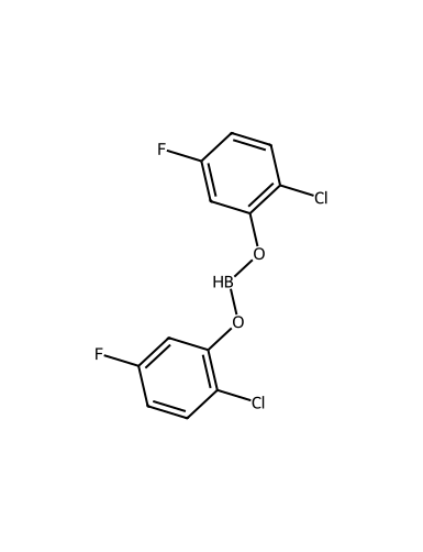 Fc1ccc(Cl)c(OBOc2cc(F)ccc2Cl)c1